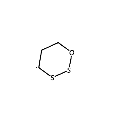 [CH]1CCOSS1